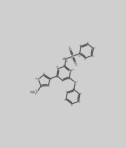 O=C(O)c1cc(-c2cc(Oc3ccccc3)nc(NS(=O)(=O)c3ccccc3)n2)cs1